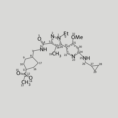 CCn1nc(C(=O)NCC2CCC(S(C)(=O)=O)CC2)c(C)c1-c1cnc(NCC2CC2)cc1OC